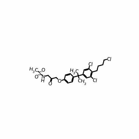 CC(C)(c1ccc(OCC(=O)CNS(C)(=O)=O)cc1)c1cc(Cl)c(CCCCCl)c(Cl)c1